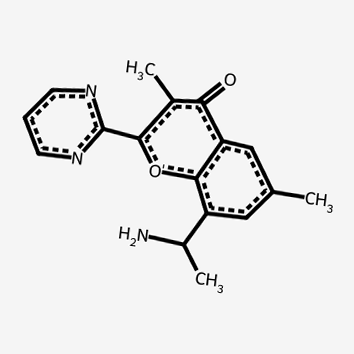 Cc1cc(C(C)N)c2oc(-c3ncccn3)c(C)c(=O)c2c1